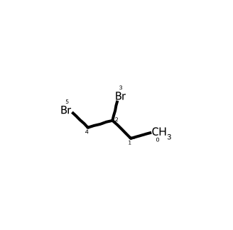 C[CH]C(Br)CBr